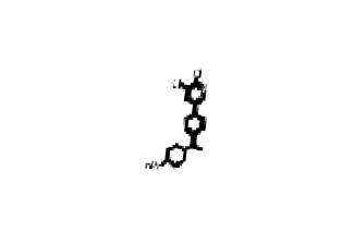 CCCC1CCC(C(C)c2ccc(-c3cnc(Cl)c(Cl)c3)cc2)CC1